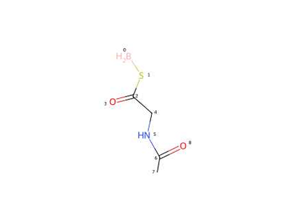 BSC(=O)CNC(C)=O